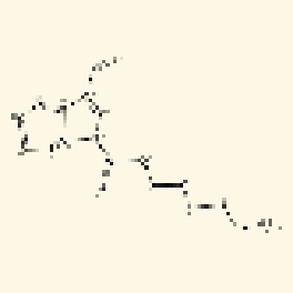 CCCCCCOC(=O)n1cc(C=O)c2ccccc21